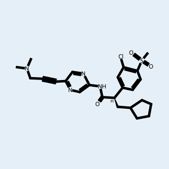 CN(C)CC#Cc1cnc(NC(=O)[C@H](CC2CCCC2)c2ccc(S(C)(=O)=O)c(Cl)c2)cn1